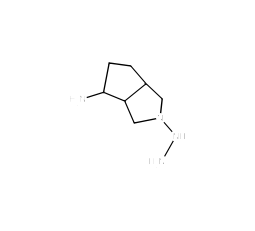 NNN1CC2CCC(N)C2C1